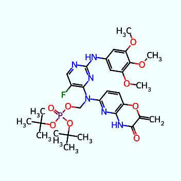 C=C1Oc2ccc(N(COP(=O)(OC(C)(C)C)OC(C)(C)C)c3nc(Nc4cc(OC)c(OC)c(OC)c4)ncc3F)nc2NC1=O